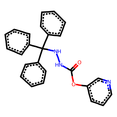 O=C(NNC(c1ccccc1)(c1ccccc1)c1ccccc1)Oc1cccnc1